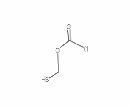 O=C(Cl)OCS